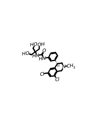 CN1Cc2c(Cl)cc(Cl)cc2[C@H](c2cccc(NC(=O)NC(CO)(CO)CO)c2)C1